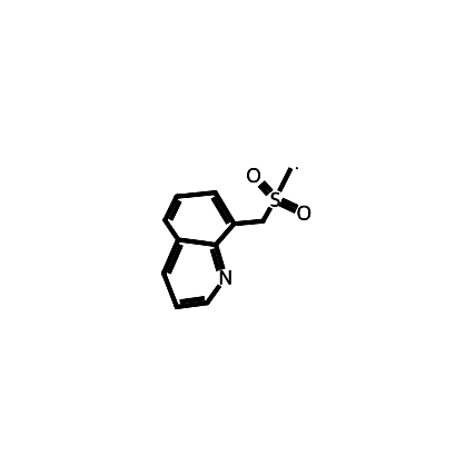 [CH2]S(=O)(=O)Cc1cccc2cccnc12